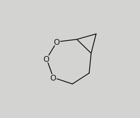 C1CC2CC2OOO1